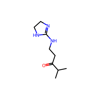 CC(C)C(=O)CCNC1=NCCN1